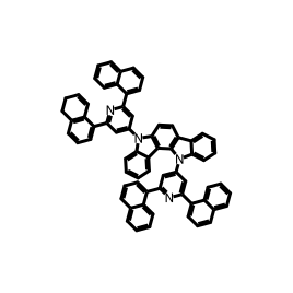 C1=Cc2c(cccc2-c2cc(-n3c4ccccc4c4c3ccc3c5ccccc5n(-c5cc(-c6cccc7ccccc67)nc(-c6cccc7ccccc67)c5)c34)cc(-c3cccc4ccccc34)n2)CC1